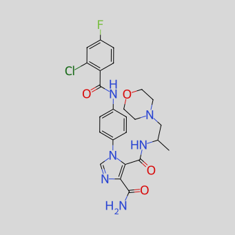 CC(CN1CCOCC1)NC(=O)c1c(C(N)=O)ncn1-c1ccc(NC(=O)c2ccc(F)cc2Cl)cc1